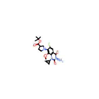 COc1c(N2CCC(C(=O)OC(C)(C)C)C2)c(F)cc2c(=O)n(N)c(=O)n(C3CC3)c12